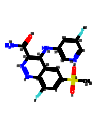 CS(=O)(=O)c1cc(F)c2nnc(C(N)=O)c(Nc3cncc(F)c3)c2c1